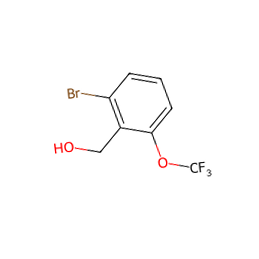 OCc1c(Br)cccc1OC(F)(F)F